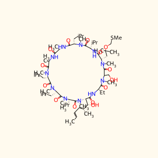 C/C=C/C[C@@H](C)[C@@H](O)[C@H]1C(=O)N[C@@H](CC)C(=O)N(C)C(CO)C(=O)N(C)[C@@H](CC(C)(C)OCSC)C(=O)N[C@@H](C(C)C)C(=O)N(C)[C@@H](CC(C)C)C(=O)N[C@@H](C)C(=O)N[C@H](C)C(=O)N(C)[C@@H](CC(C)C)C(=O)N(C)[C@@H](CC(C)C)C(=O)N(C)[C@@H](C(C)C)C(=O)N1C